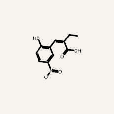 CCC(=Cc1cc([N+](=O)[O-])ccc1O)C(=O)O